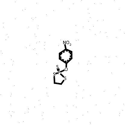 O=[N+]([O-])c1ccc(OP2(=S)SCCS2)cc1